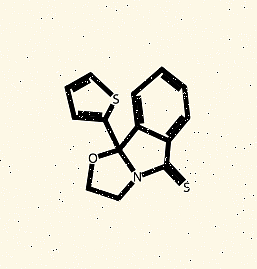 S=C1c2ccccc2C2(c3cccs3)OCCN12